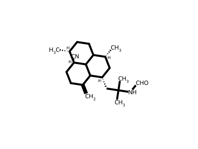 C=C1CC[C@]2(C#N)C3C1[C@@H](CC(C)(C)NC=O)C[C@@H](C)C3CC[C@H]2C